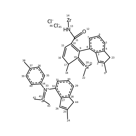 CC1=Cc2c(cccc2C2=C(C(=O)[NH][Zr])C=CC(C)C2=[Si](C)C)C1.CC1=Cc2c(cccc2[N+](c2ccc(C)cc2)=[Si](C)C)C1.[Cl-].[Cl-]